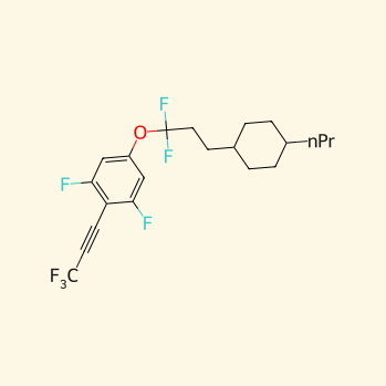 CCCC1CCC(CCC(F)(F)Oc2cc(F)c(C#CC(F)(F)F)c(F)c2)CC1